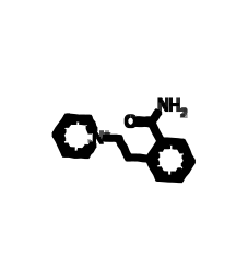 NC(=O)c1ccccc1CC[n+]1ccccc1